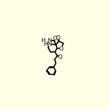 NC(=O)C12NCCC(C(=O)[CH]Cc3ccccc3)C1OCC2=O